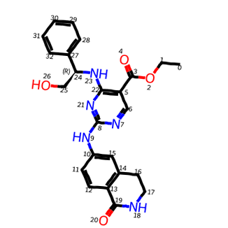 CCOC(=O)c1cnc(Nc2ccc3c(c2)CCNC3=O)nc1N[C@@H](CO)c1ccccc1